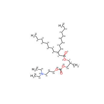 [CH2]C(COC(=O)CC(CCCCCCCC)CCCCCCCC)COC(=O)OCCCN(CC)CC